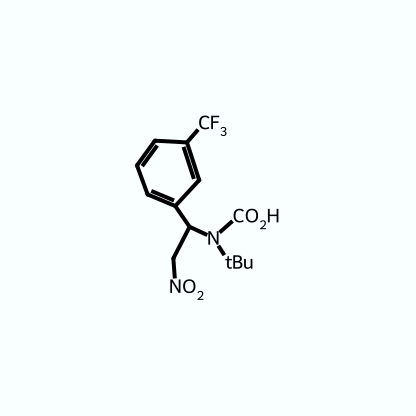 CC(C)(C)N(C(=O)O)C(C[N+](=O)[O-])c1cccc(C(F)(F)F)c1